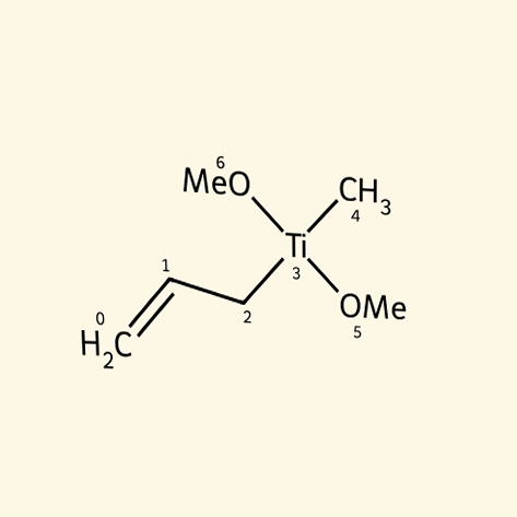 C=C[CH2][Ti]([CH3])([O]C)[O]C